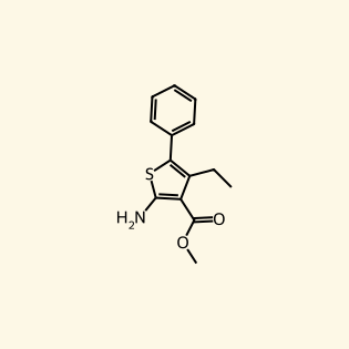 CCc1c(-c2ccccc2)sc(N)c1C(=O)OC